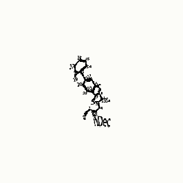 C=C[C@@H](CCCCCCCCCC)CC1Sc2c(sc3cc(C4=CC=CCC4C)ccc23)[C@H]1C